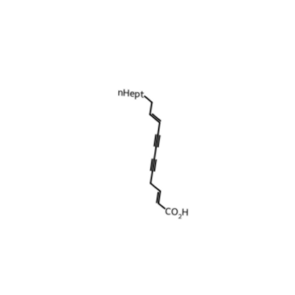 CCCCCCCCC=CC#CC#CCC=CC(=O)O